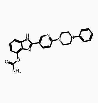 NC(=O)Oc1cccc2[nH]c(-c3ccc(N4CCN(c5ccccc5)CC4)nc3)nc12